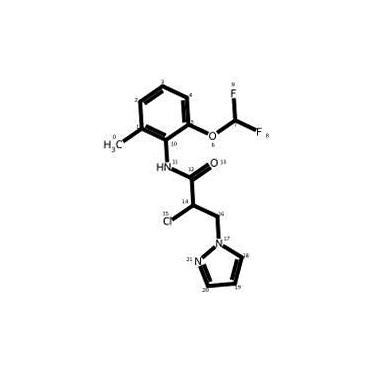 Cc1cccc(OC(F)F)c1NC(=O)C(Cl)Cn1cccn1